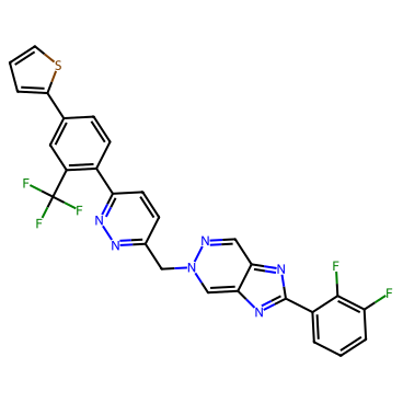 Fc1cccc(-c2nc3cnn(Cc4ccc(-c5ccc(-c6cccs6)cc5C(F)(F)F)nn4)cc-3n2)c1F